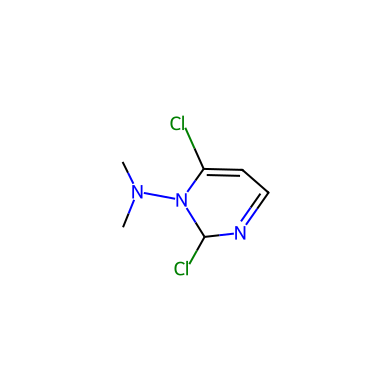 CN(C)N1C(Cl)=CC=NC1Cl